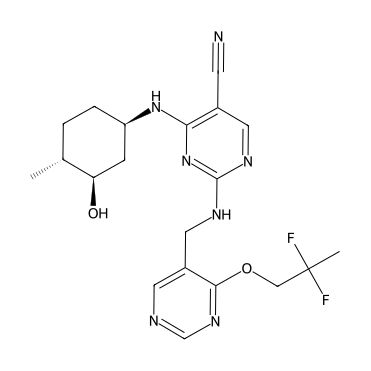 C[C@@H]1CC[C@@H](Nc2nc(NCc3cncnc3OCC(C)(F)F)ncc2C#N)C[C@H]1O